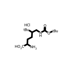 CC(C)(C)OC(=O)NCC(CCC(N)C(=O)O)C(C)(C)C.Cl